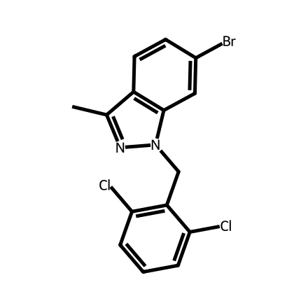 Cc1nn(Cc2c(Cl)cccc2Cl)c2cc(Br)ccc12